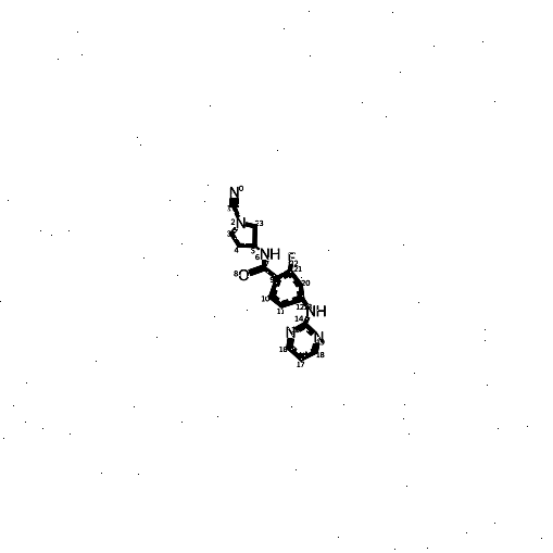 N#CN1CC[C@@H](NC(=O)c2ccc(Nc3ncccn3)cc2F)C1